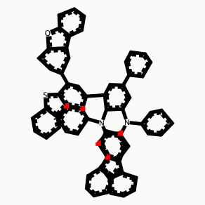 c1ccc(-c2cc(-c3cc(-c4ccc5oc6ccccc6c5c4)c4sc5ccccc5c4c3)c(N(c3ccccc3)c3ccc4c(c3)sc3ccccc34)c(N(c3ccccc3)c3ccc4c(c3)sc3ccccc34)c2)cc1